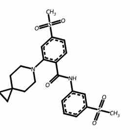 CS(=O)(=O)c1cccc(NC(=O)c2ccc(S(C)(=O)=O)cc2N2CCC3(CC2)CC3)c1